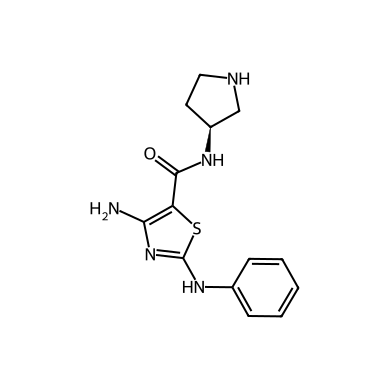 Nc1nc(Nc2ccccc2)sc1C(=O)N[C@H]1CCNC1